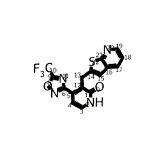 O=c1[nH]ccc(-c2noc(C(F)(F)F)n2)c1Cc1cc2cccnc2s1